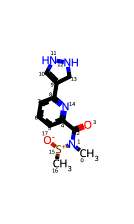 CN(C(=O)c1cccc(C2=CNNC2)n1)[S+](C)[O-]